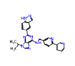 CC(C)n1cnc2c(NCc3ccc(-c4cccnc4)nc3)nc(-c3ccc4[nH]ncc4c3)nc21